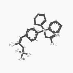 C=C(C)C[Si](C1=CC=CCC1)(c1ccccc1)c1ccc(/C=C(/C)C[Si](C(C)(C)C)(C(C)(C)C)C(C)(C)C)cc1